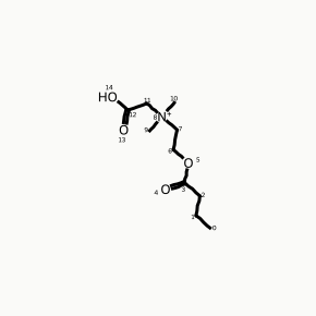 CCCC(=O)OCC[N+](C)(C)CC(=O)O